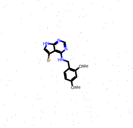 COc1ccc(CNc2ncnc3[nH]cc(Br)c23)c(OC)c1